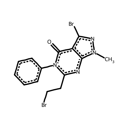 Cn1nc(Br)c2c(=O)n(-c3ccccc3)c(CCBr)nc21